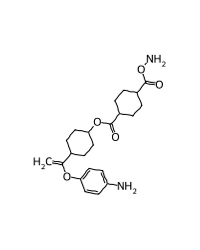 C=C(Oc1ccc(N)cc1)C1CCC(OC(=O)C2CCC(C(=O)ON)CC2)CC1